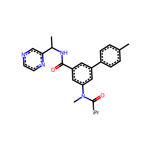 Cc1ccc(-c2cc(C(=O)NC(C)c3cnccn3)cc(N(C)C(=O)C(C)C)c2)cc1